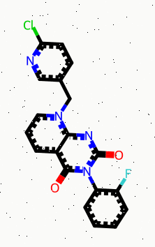 O=c1nc2n(Cc3ccc(Cl)nc3)cccc-2c(=O)n1-c1ccccc1F